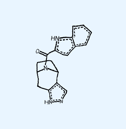 O=C(c1cc2ccccc2[nH]1)N1C2CCC1c1cn[nH]c1C2